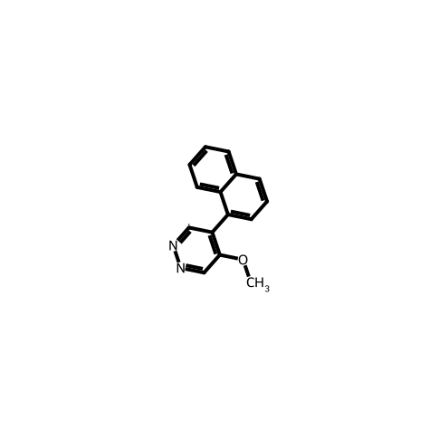 COc1cnn[c]c1-c1cccc2ccccc12